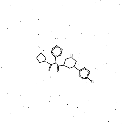 CCc1ccc(C2CNCC(C(=O)N(C(=O)N3CCCC3)c3ccccc3)C2)cc1